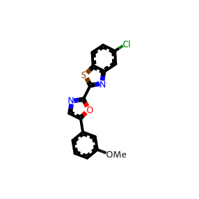 COc1cccc(-c2cnc(-c3nc4cc(Cl)ccc4s3)o2)c1